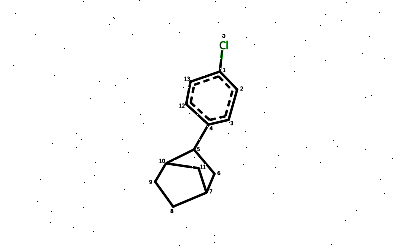 Clc1ccc(C2CC3CCC2C3)cc1